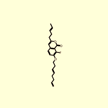 C=CCC/C=C/CCOc1ccc2cc(CC/C=C/C)oc(=O)c2c1F